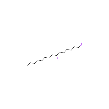 CCCCCCCCC(I)CCCCCCI